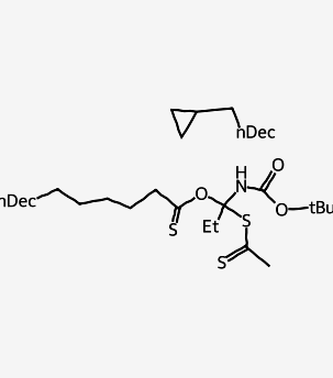 CCCCCCCCCCCC1CC1.CCCCCCCCCCCCCCCC(=S)OC(CC)(NC(=O)OC(C)(C)C)SC(C)=S